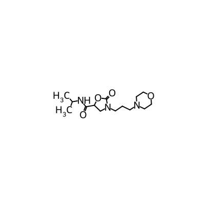 CC(C)NC(=O)C1CN(CCCN2CCOCC2)C(=O)O1